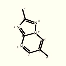 Cc1cnc2nc(C)nn2c1